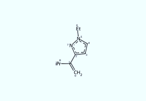 C=C(c1ccn(CC)n1)C(C)C